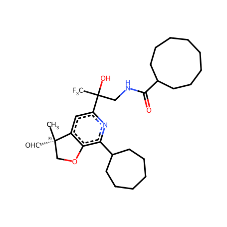 C[C@]1(C=O)COc2c1cc(C(O)(CNC(=O)C1CCCCCCCC1)C(F)(F)F)nc2C1CCCCCC1